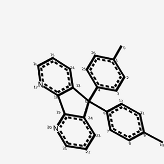 Cc1ccc(C2(c3ccc(C)cc3)c3cccnc3-c3ncccc32)cc1